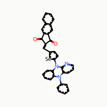 O=C1C(=Cc2ccc(N3c4ccccc4N(c4ccccc4)c4cccnc43)[se]2)C(=O)c2cc3ccccc3cc21